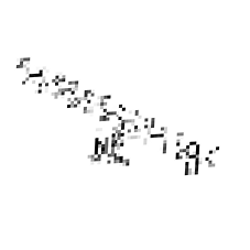 C=C(C)C(=O)OCCCCCCCCCCCCCCCCCCCCCC.C=CC(=O)N(C)C